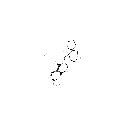 CSc1ncc2c(=O)n(CC3(O)CCNCC34CCCC4)cnc2n1.Cl